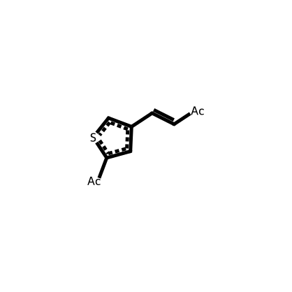 CC(=O)/C=C/c1csc(C(C)=O)c1